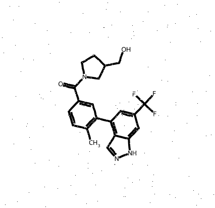 Cc1ccc(C(=O)N2CCC(CO)C2)cc1-c1cc(C(F)(F)F)cc2[nH]ncc12